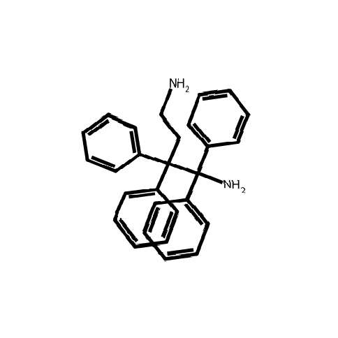 NCCC(c1ccccc1)(c1ccccc1)C(N)(c1ccccc1)c1ccccc1